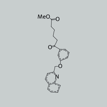 COC(=O)CCCCC(=O)c1cccc(OCc2ccc3ccccc3n2)c1